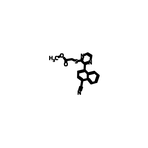 COC(=O)CSc1nccnc1-c1ccc(C#N)c2ccccc12